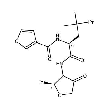 CC[C@@H]1OCC(=O)C1NC(=O)[C@H](CC(C)(C)C(C)C)NC(=O)c1ccoc1